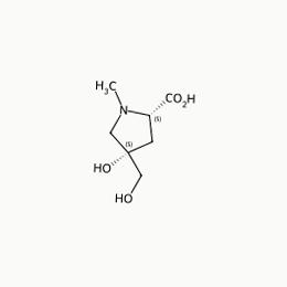 CN1C[C@](O)(CO)C[C@H]1C(=O)O